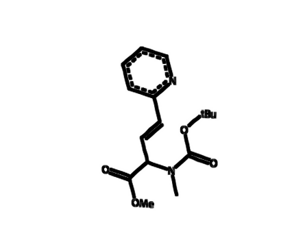 COC(=O)C(C=Cc1ccccn1)N(C)C(=O)OC(C)(C)C